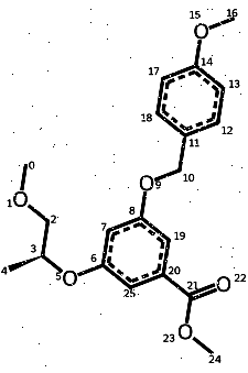 COC[C@H](C)Oc1cc(OCc2ccc(OC)cc2)cc(C(=O)OC)c1